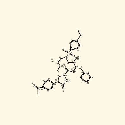 CCc1ccc(S(=O)(=O)N(C[C@@H](C)CC)C[C@@H](O)[C@H](Cc2ccccc2)NC(=O)[C@@H]2CN(c3ccc(C(C)=O)cc3)C(=O)O2)cc1